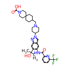 CC(C)(O)c1cc2nn(C3CCN(CC4CCC5(CC4)CCN(C(=O)O)CC5)CC3)cc2cc1NC(=O)c1cccc(C(F)(F)F)n1